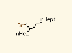 CCCCCCCCCCC(CBr)CCCCCC